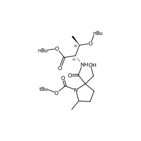 CCCCOC(=O)[C@@H](NC(=O)C1(CO)CCC(C)N1C(=O)OC(C)(C)C)[C@@H](C)OCCCC